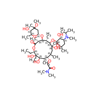 CC[C@H]1OC(=O)[C@H](C)[C@@H](O[C@H]2C[C@@](C)(OC)[C@@H](O)[C@H](C)O2)[C@H](C)[C@@H](O[C@@H]2O[C@H](C)C[C@H](N(C)C(C)C)[C@H]2O)[C@](C)(O)C[C@@H](C)[C@H](OCC(=O)N(C)C)[C@H](C)[C@@H](O)[C@]1(C)O